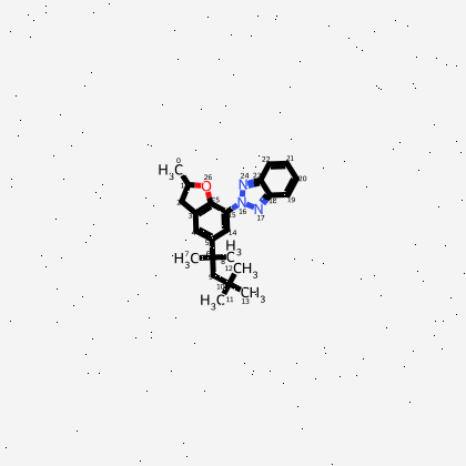 CC1Cc2cc(C(C)(C)CC(C)(C)C)cc(-n3nc4ccccc4n3)c2O1